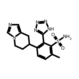 Cc1ccc(C2CCn3cncc3C2)c(-c2nnn[nH]2)c1S(N)(=O)=O